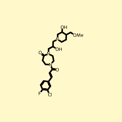 COCC1CCN(CC(O)CN2CCN(C(=O)C=Cc3ccc(F)c(Cl)c3)CCC2=O)CC1O